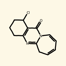 O=c1c2c(nc3n1C=CC=CC3)CCCC2Cl